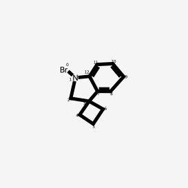 BrN1CC2(CCC2)c2ccccc21